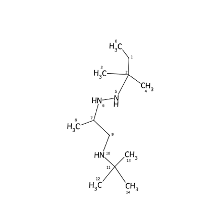 CCC(C)(C)NNC(C)CNC(C)(C)C